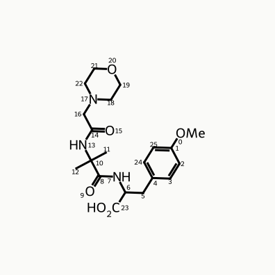 COc1ccc(CC(NC(=O)C(C)(C)NC(=O)CN2CCOCC2)C(=O)O)cc1